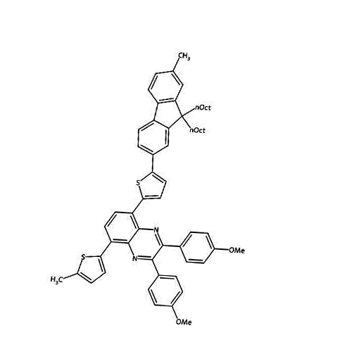 CCCCCCCCC1(CCCCCCCC)c2cc(C)ccc2-c2ccc(-c3ccc(-c4ccc(-c5ccc(C)s5)c5nc(-c6ccc(OC)cc6)c(-c6ccc(OC)cc6)nc45)s3)cc21